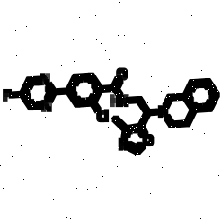 Cc1ncoc1C(CNC(=O)c1ccc(-c2ncc(F)cn2)cc1Cl)N1CCc2ccccc2C1